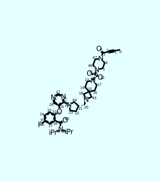 CC#CC(=O)N1CCN(S(=O)(=O)N2CCC3(CC2)CN(C[C@@H]2CCN(c4ncncc4Oc4ccc(F)cc4C(=O)N(C(C)C)C(C)C)C2)C3)CC1